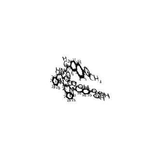 COc1ccc2cc([C@H](C)C(=O)N[C@H](Cc3ccccc3)C(=O)N[C@H](Cc3ccccc3)C(=O)NC(Cc3ccc(OP(O)O)cc3)C(=O)O)ccc2c1